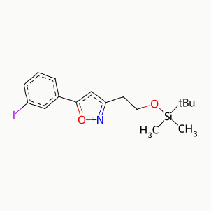 CC(C)(C)[Si](C)(C)OCCc1cc(-c2cccc(I)c2)on1